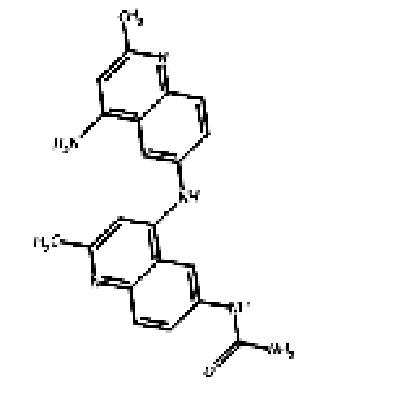 Cc1cc(N)c2cc(Nc3cc(C)nc4ccc(NC(N)=O)cc34)ccc2n1